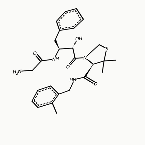 Cc1ccccc1CNC(=O)[C@H]1N(C(=O)[C@@H](O)[C@H](Cc2ccccc2)NC(=O)CN)CSC1(C)C